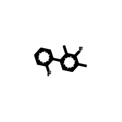 Cc1ccc(-c2ccccc2F)c(C)c1F